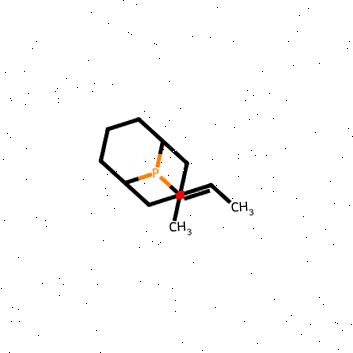 CC=C(C)P1C2CCCC1CCC2